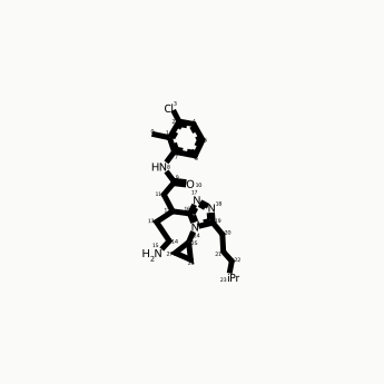 Cc1c(Cl)cccc1NC(=O)CC(CCN)c1nnc(CCCC(C)C)n1C1CC1